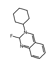 FC1N=c2ccccc2=CN1C1CCCCC1